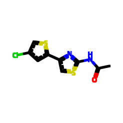 CC(=O)Nc1nc(-c2cc(Cl)cs2)cs1